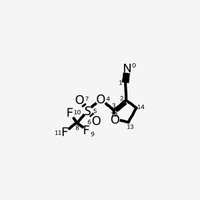 N#CC1=C(OS(=O)(=O)C(F)(F)F)OCC1